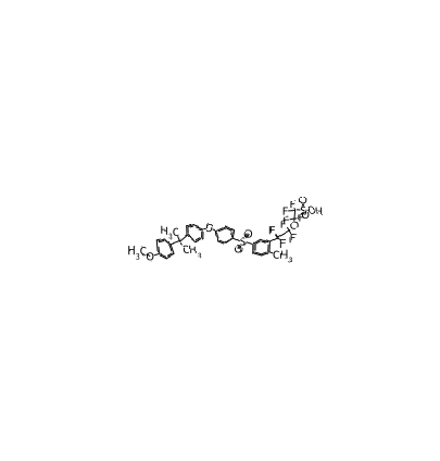 COc1ccc(C(C)(C)c2ccc(Oc3ccc(S(=O)(=O)c4ccc(C)c(C(F)(F)C(F)(F)OC(F)(F)C(F)(F)S(=O)(=O)O)c4)cc3)cc2)cc1